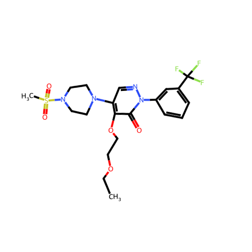 CCOCCOc1c(N2CCN(S(C)(=O)=O)CC2)cnn(-c2cccc(C(F)(F)F)c2)c1=O